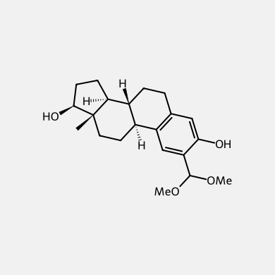 COC([17O]C)c1cc2c(cc1O)CC[C@@H]1[C@@H]2CC[C@]2(C)[C@@H](O)CC[C@@H]12